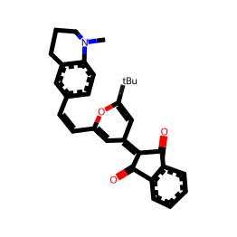 CN1CCCc2cc(/C=C\C3=CC(=C4C(=O)c5ccccc5C4=O)C=C(C(C)(C)C)O3)ccc21